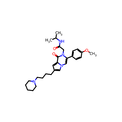 COc1ccc(-c2cn3cc(CCCCN4CCCCC4)cc3c(=O)n2CC(=O)NC(C)C)cc1